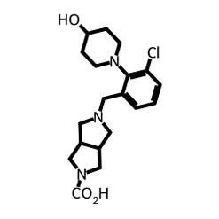 O=C(O)N1CC2CN(Cc3cccc(Cl)c3N3CCC(O)CC3)CC2C1